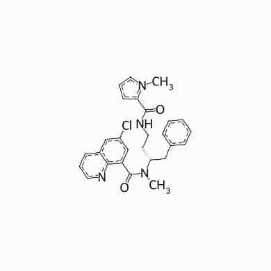 CN(C(=O)c1cc(Cl)cc2cccnc12)[C@H](CCNC(=O)c1cccn1C)Cc1ccccc1